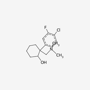 CN(C)CC1(c2ccc(Cl)c(F)c2)CCCCC1O